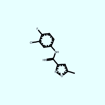 Cc1cc(C(=N)Nc2ccc(F)c(Cl)c2)no1